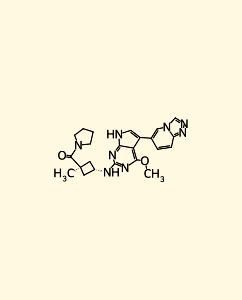 COc1nc(N[C@H]2C[C@](C)(C(=O)N3CCCC3)C2)nc2[nH]cc(-c3ccc4nncn4c3)c12